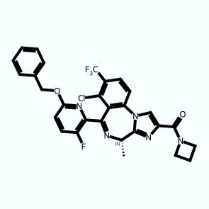 C[C@@H]1N=C(c2nc(OCc3ccccc3)ccc2F)c2c(ccc(C(F)(F)F)c2Cl)-n2cc(C(=O)N3CCC3)nc21